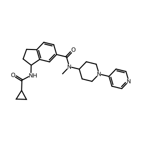 CN(C(=O)c1ccc2c(c1)C(NC(=O)C1CC1)CC2)C1CCN(c2ccncc2)CC1